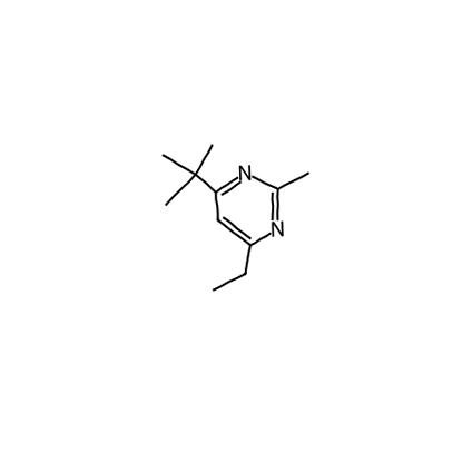 CCc1cc(C(C)(C)C)nc(C)n1